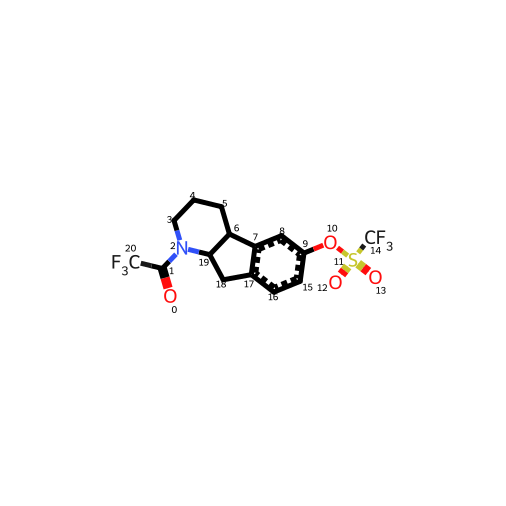 O=C(N1CCCC2c3cc(OS(=O)(=O)C(F)(F)F)ccc3CC21)C(F)(F)F